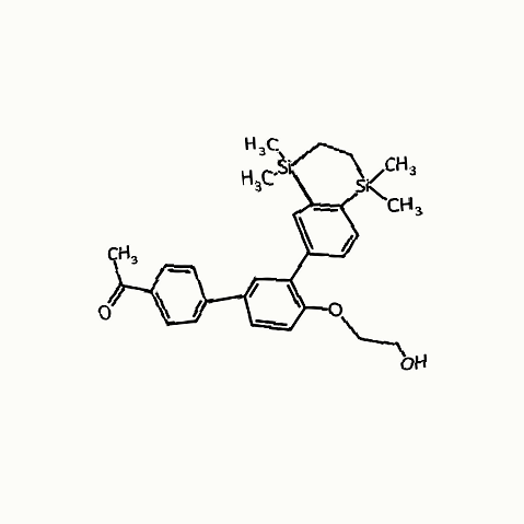 CC(=O)c1ccc(-c2ccc(OCCO)c(-c3ccc4c(c3)[Si](C)(C)CC[Si]4(C)C)c2)cc1